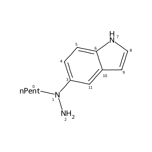 CCCCCN(N)c1ccc2[nH]ccc2c1